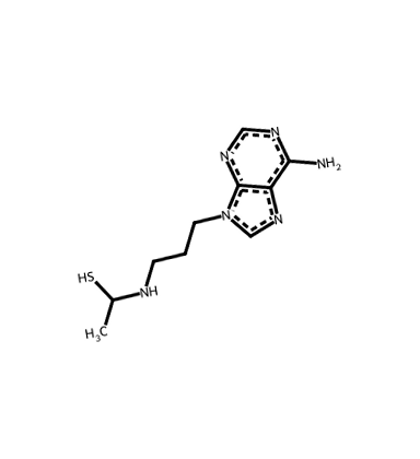 CC(S)NCCCn1cnc2c(N)ncnc21